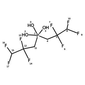 OP(O)(O)(CC(F)(F)C(F)F)CC(F)(F)C(F)F